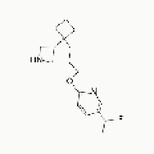 CC(F)c1ccc(OCCCC2(C3CNC3)CCC2)nc1